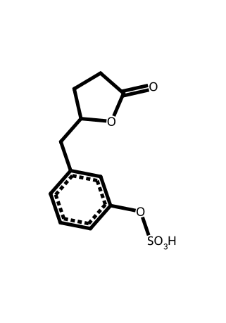 O=C1CCC(Cc2cccc(OS(=O)(=O)O)c2)O1